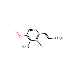 CCOc1ccc(C=CC(=O)O)c(C(C)=O)c1OC